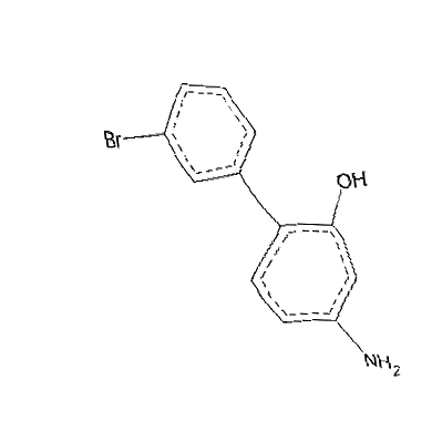 Nc1ccc(-c2cccc(Br)c2)c(O)c1